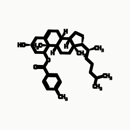 Cc1ccc(C(=O)OC2C[C@H](O)CC3=CC[C@H]4[C@@H]5CC[C@H]([C@H](C)CCCC(C)C)[C@@]5(C)CC[C@@H]4[C@]32C)cc1